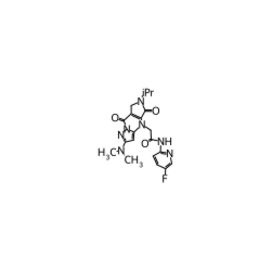 CC(C)N1Cc2c(n(CC(=O)Nc3ccc(F)cn3)c3cc(N(C)C)nn3c2=O)C1=O